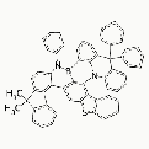 CC1(C)c2ccccc2-c2c1ccc1c2-c2cc3sc4ccccc4c3c3c2B(c2cccc4c2N3c2ccccc2C4(c2ccccc2)c2ccccc2)N1c1ccccc1